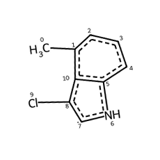 Cc1cccc2[nH][c]c(Cl)c12